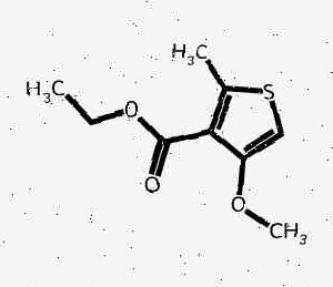 CCOC(=O)c1c(OC)csc1C